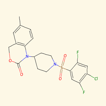 Cc1ccc2c(c1)COC(=O)N2C1CCN(S(=O)(=O)c2cc(F)c(Cl)cc2F)CC1